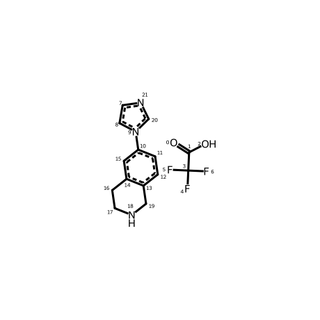 O=C(O)C(F)(F)F.c1cn(-c2ccc3c(c2)CCNC3)cn1